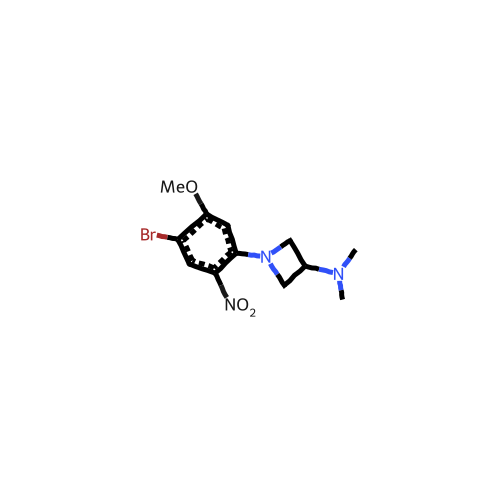 COc1cc(N2CC(N(C)C)C2)c([N+](=O)[O-])cc1Br